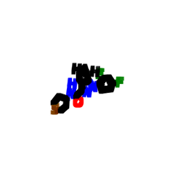 O=C(NC1CCSCC1)c1nn(-c2ccc(F)cc2F)c2c1C[C@H]1C[C@@H]21